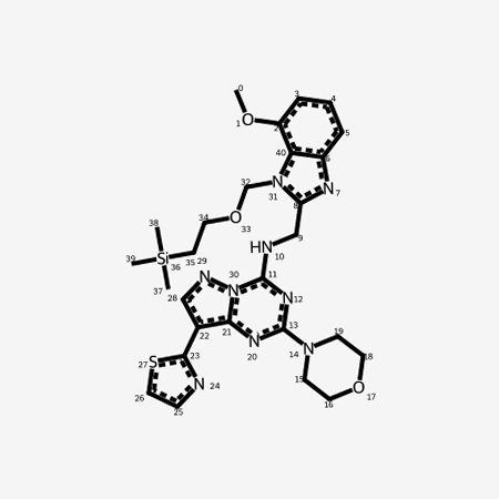 COc1cccc2nc(CNc3nc(N4CCOCC4)nc4c(-c5nccs5)cnn34)n(COCC[Si](C)(C)C)c12